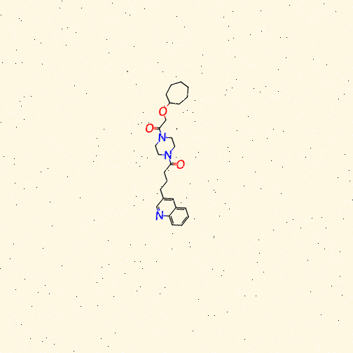 O=C(CCCc1cnc2ccccc2c1)N1CCN(C(=O)COC2CCCCCC2)CC1